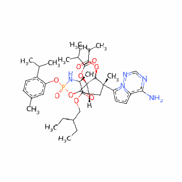 CCC(CC)COC(=O)[C@H](C)NP(=O)(Oc1cc(C)ccc1C(C)C)OC1[C@H]2C[C@@](C)(c3ccc4c(N)ncnn34)[C@H](OC(=O)C(C)C)[C@@]12OC(=O)C(C)C